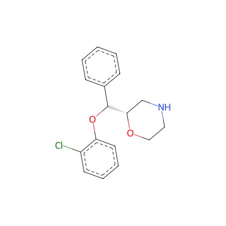 Clc1ccccc1OC(c1ccccc1)[C@@H]1CNCCO1